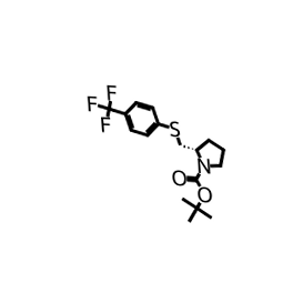 CC(C)(C)OC(=O)N1CCC[C@H]1CSc1ccc(C(F)(F)F)cc1